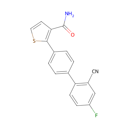 N#Cc1cc(F)ccc1-c1ccc(-c2sccc2C(N)=O)cc1